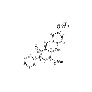 COc1nn(-c2ccccc2)c(=O)n(Cc2cccc(OC(F)(F)F)c2)c1=O